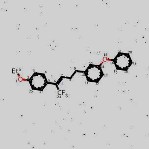 CCOc1ccc(/C(=C/CCc2cccc(Oc3ccccc3)c2)C(F)(F)F)cc1